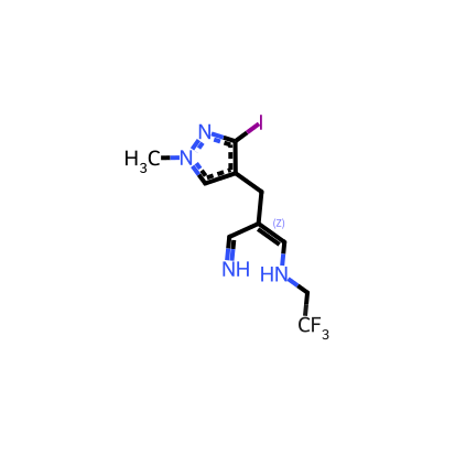 Cn1cc(C/C(C=N)=C/NCC(F)(F)F)c(I)n1